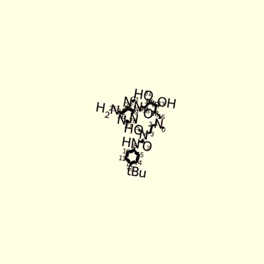 CN(CCN(O)C(=O)Nc1ccc(C(C)(C)C)cc1)C[C@H]1O[C@@H](n2cnc3c(N)ncnc32)[C@H](O)[C@@H]1O